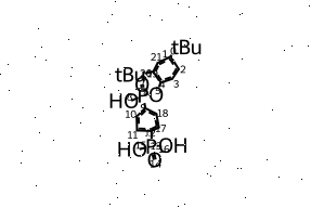 CC(C)(C)c1ccc(OP(=O)(O)c2ccc(P(=O)(O)O)cc2)c(C(C)(C)C)c1